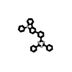 c1ccc(-c2nc(-c3ccccc3)nc(-c3cccc(-c4ccc5c(c4)c4ccccc4n5-c4ccccc4)c3)n2)cc1